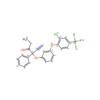 CCC(=O)C(C#N)(Oc1cccc(Oc2ccc(C(F)(F)F)cc2Cl)c1)c1ccccc1